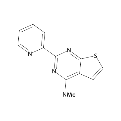 CNc1nc(-c2ccccn2)nc2sccc12